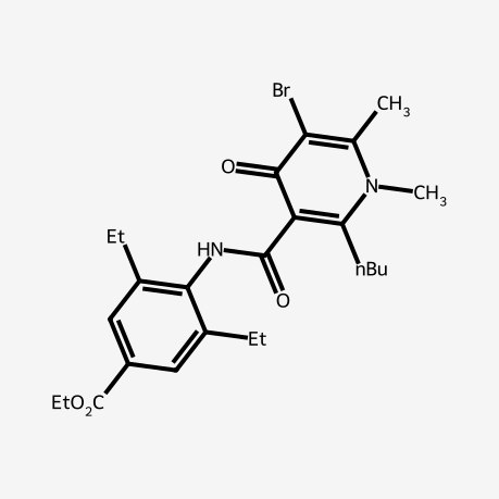 CCCCc1c(C(=O)Nc2c(CC)cc(C(=O)OCC)cc2CC)c(=O)c(Br)c(C)n1C